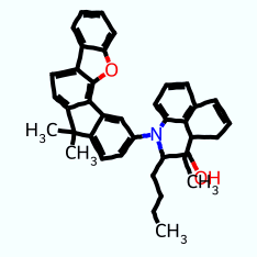 CCCCC(CO)N(c1ccc2c(c1)-c1c(ccc3c1oc1ccccc13)C2(C)C)c1cccc2c1C(CC)CC=C2